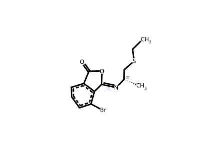 CCSC[C@H](C)/N=C1\OC(=O)c2cccc(Br)c21